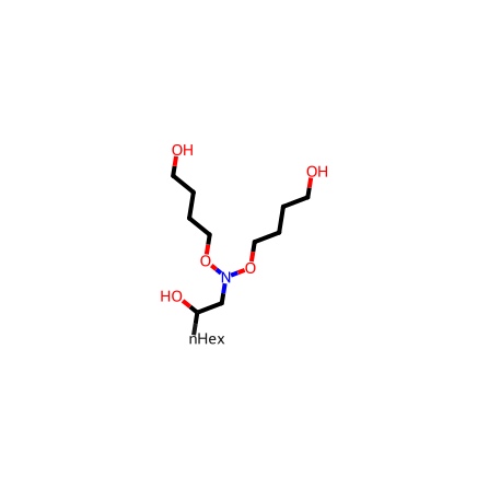 CCCCCCC(O)CN(OCCCCO)OCCCCO